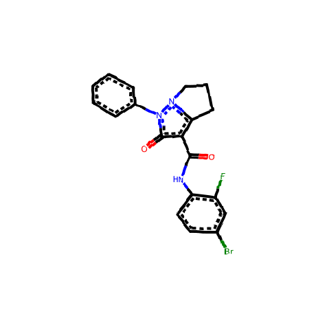 O=C(Nc1ccc(Br)cc1F)c1c2n(n(-c3ccccc3)c1=O)CCC2